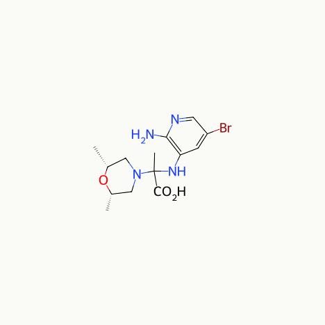 C[C@@H]1CN(C(C)(Nc2cc(Br)cnc2N)C(=O)O)C[C@H](C)O1